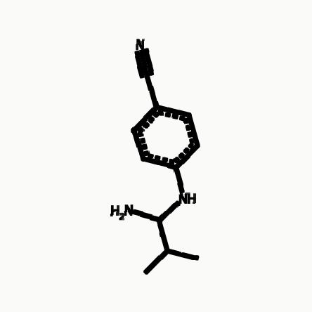 CC(C)C(N)Nc1ccc(C#N)cc1